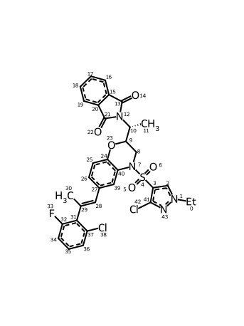 CCn1cc(S(=O)(=O)N2CC([C@@H](C)N3C(=O)c4ccccc4C3=O)Oc3ccc(/C=C(\C)c4c(F)cccc4Cl)cc32)c(Cl)n1